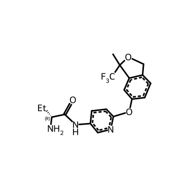 CC[C@@H](N)C(=O)Nc1ccc(Oc2ccc3c(c2)C(C)(C(F)(F)F)OC3)nc1